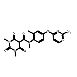 Cc1cc(Oc2ccnc(C(F)(F)F)n2)ccc1N(C)C(=O)C1C(=O)N(C)C(=O)N(C)C1=O